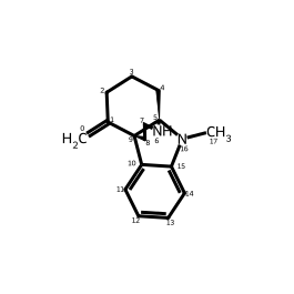 C=C1CCC[C@@]23NCC[C@@]12c1ccccc1N3C